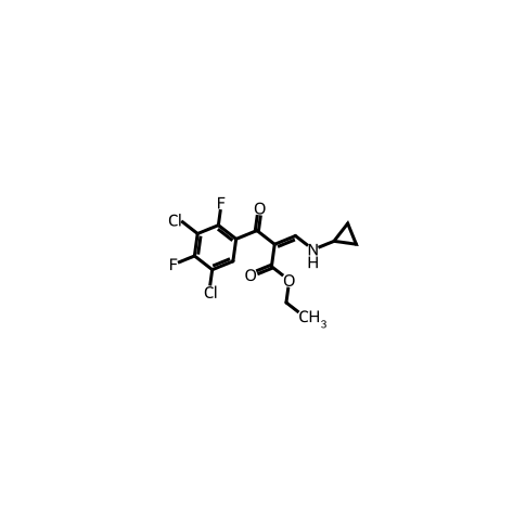 CCOC(=O)C(=CNC1CC1)C(=O)c1cc(Cl)c(F)c(Cl)c1F